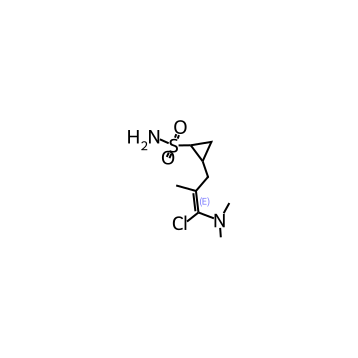 C/C(CC1CC1S(N)(=O)=O)=C(\Cl)N(C)C